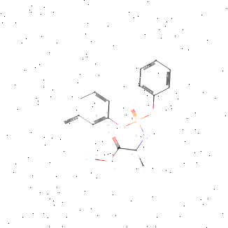 C=C/C=C(\C=C/C)OP(=O)(N[C@@H](C)C(=O)OC(C)C)Oc1ccccc1